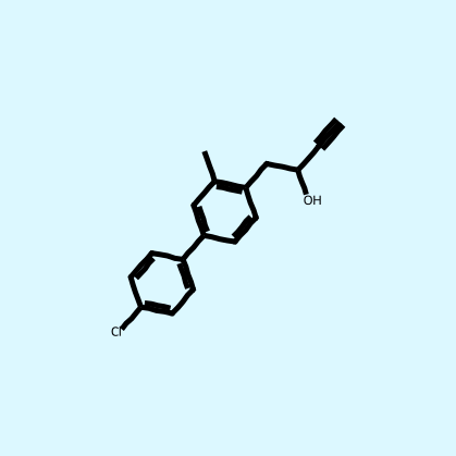 C#CC(O)Cc1ccc(-c2ccc(Cl)cc2)cc1C